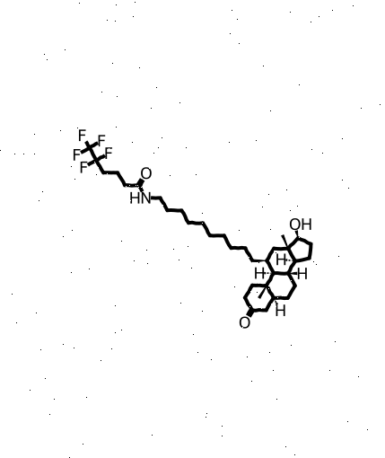 C[C@]12CCC(=O)C[C@@H]1CC[C@@H]1[C@@H]2[C@@H](CCCCCCCCCCNC(=O)CCCC(F)(F)C(F)(F)F)C[C@]2(C)[C@@H](O)CC[C@@H]12